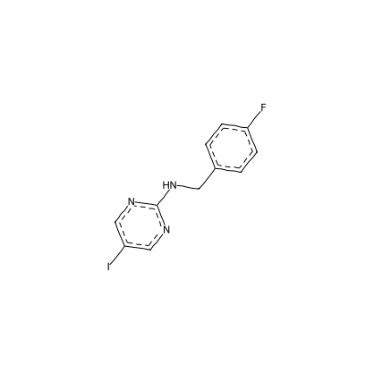 Fc1ccc(CNc2ncc(I)cn2)cc1